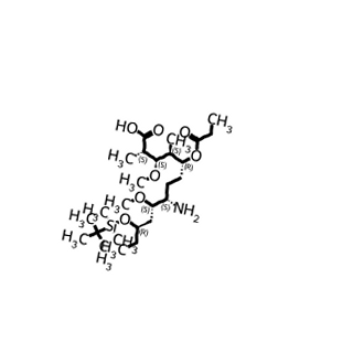 CCC(=O)O[C@H](CC[C@H](N)[C@H](C[C@@H](CC)O[Si](C)(C)C(C)(C)C)OC)[C@H](C)[C@H](OC)[C@H](C)C(=O)O